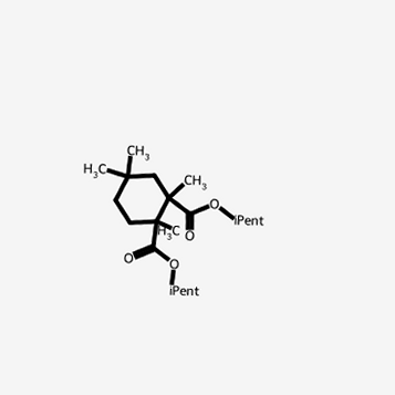 CCCC(C)OC(=O)C1(C)CCC(C)(C)CC1(C)C(=O)OC(C)CCC